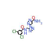 NC(=O)c1cc(-n2ncnc2CNC(=O)c2cc(Cl)cc(Cl)c2)ncn1